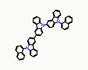 c1ccc2c(-n3c4ccccc4c4cc(-c5ccc6c(c5)c5ccccc5n6-c5ccc6c(c5)c5ccccc5n6-c5cccc6ccccc56)ccc43)cccc2c1